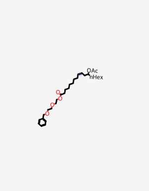 CCCCCCC(C/C=C\CCCCCCCC(=O)OCCOCCOCc1ccccc1)OC(C)=O